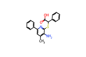 Cc1cc(-c2ccccc2)nc(SC(C(=O)O)c2ccccc2)c1N